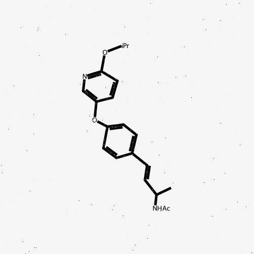 CC(=O)NC(C)C=Cc1ccc(Oc2ccc(OC(C)C)nc2)cc1